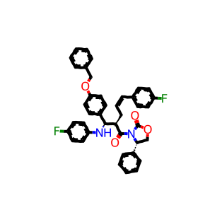 O=C1OC[C@H](c2ccccc2)N1C(=O)[C@H](C/C=C\c1ccc(F)cc1)[C@H](Nc1ccc(F)cc1)c1ccc(OCc2ccccc2)cc1